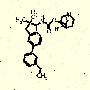 CCc1cccc(-c2ccc3c(c2)CC(C)(C)[C@H]3NC(=O)O[C@H]2CN3CCC2CC3)c1